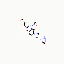 COc1c(N2CC[C@@H]([C@H](C)NC(C)=O)C2)c(F)cc2c(=O)c3c(O)c(C(C)=O)sc3n(C3CC3)c12